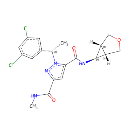 CNC(=O)c1cc(C(=O)N[C@H]2[C@@H]3COC[C@@H]32)n([C@@H](C)c2cc(F)cc(Cl)c2)n1